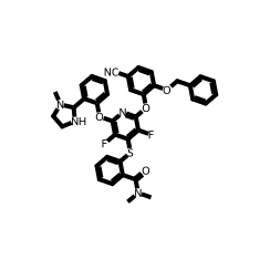 CN(C)C(=O)c1ccccc1Sc1c(F)c(Oc2cc(C#N)ccc2OCc2ccccc2)nc(Oc2ccccc2C2NCCN2C)c1F